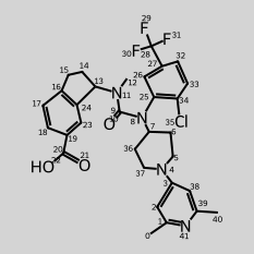 Cc1cc(N2CCC(N(C(=O)N(C)C3CCc4ccc(C(=O)O)cc43)c3cc(C(F)(F)F)ccc3Cl)CC2)cc(C)n1